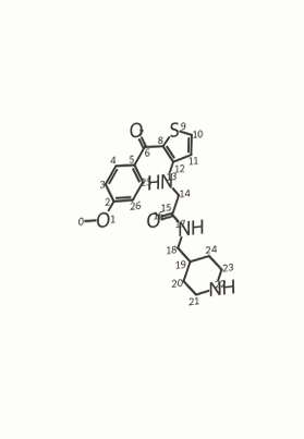 COc1ccc(C(=O)c2sccc2NCC(=O)NCC2CCNCC2)cc1